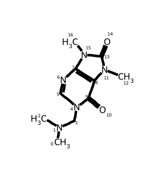 CN(C)Cn1cnc2c(c1=O)n(C)c(=O)n2C